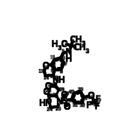 CC(C)(C)NCc1ccc2c(c1)OCC[C@H]2NC(=O)C[C@@H]1C(=O)NCCN1S(=O)(=O)c1ccc(OC(F)(F)F)cc1